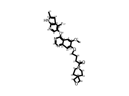 COc1cc2c(Oc3cnc4[nH]c(C)cc4c3F)ncnc2cc1OCCCC(=O)N1CCC2(CC1)COC2